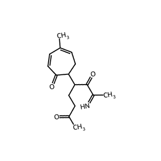 CC(=N)C(=O)C(CCC(C)=O)C1CC=C(C)C=CC1=O